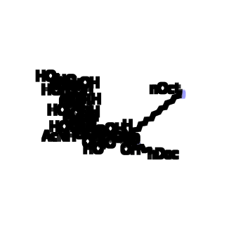 CCCCCCCC/C=C\CCCCCCCCCCCCCC(=O)N[C@@H](CO[C@@H]1OC(CO)[C@@H](O[C@@H]2OC(CO)[C@H](O)[C@H](O[C@@H]3OC(CO)[C@@H](O[C@@H]4OC(CO)[C@H](O)[C@H](O[C@]5(C(=O)O)CC(O)[C@@H](NC(=O)CO)C([C@H](O)[C@H](O)CO)O5)C4O)[C@H](O)C3NC(C)=O)C2O)[C@H](O)C1O)[C@H](O)/C=C/CCCCCCCCCCCCC